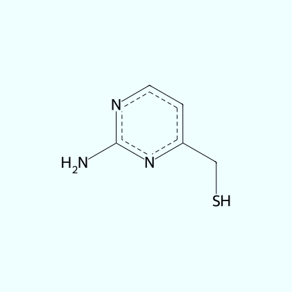 Nc1nccc(CS)n1